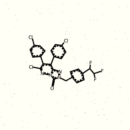 O=c1n(Cc2ccc(C(F)C(F)F)cc2)nc2c(-c3ccc(Cl)cc3)c(-c3ccc(Cl)cc3)c(Cl)nn12